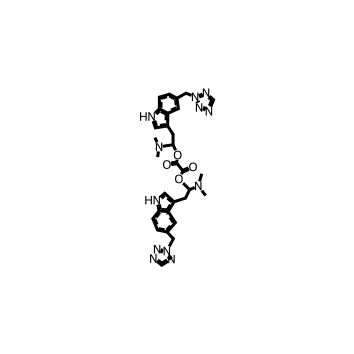 CN(C)C(Cc1c[nH]c2ccc(Cn3ncnn3)cc12)OC(=O)C(=O)OC(Cc1c[nH]c2ccc(Cn3ncnn3)cc12)N(C)C